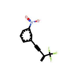 C=C(C#Cc1cccc([N+](=O)[O-])c1)C(F)(F)F